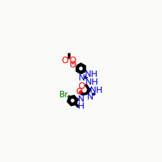 CC(=O)OOc1ccc2[nH]c(NC(=O)c3[nH]cnc3C(=O)Nc3cc(Br)ccc3C)nc2c1